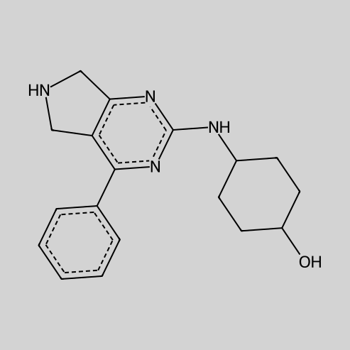 OC1CCC(Nc2nc3c(c(-c4ccccc4)n2)CNC3)CC1